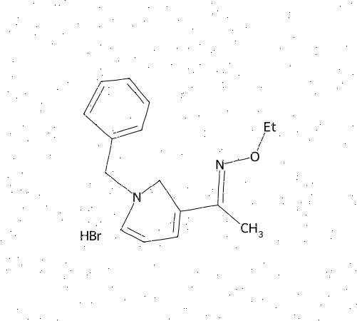 Br.CCON=C(C)C1=CC=CN(Cc2ccccc2)C1